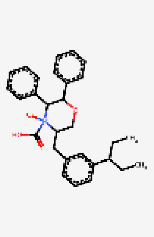 CCC(CC)c1cccc(CC2COC(c3ccccc3)C(c3ccccc3)[N+]2([O-])C(=O)O)c1